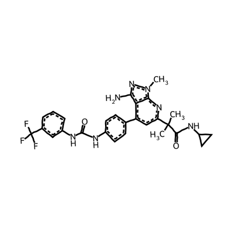 Cn1nc(N)c2c(-c3ccc(NC(=O)Nc4cccc(C(F)(F)F)c4)cc3)cc(C(C)(C)C(=O)NC3CC3)nc21